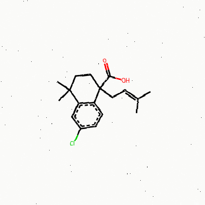 CC(C)=CCC1(C(=O)O)CCC(C)(C)c2cc(Cl)ccc21